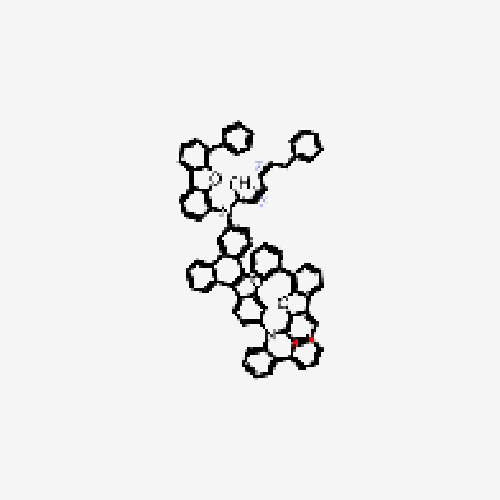 CC(/C=C\C=C/Cc1ccccc1)N(c1ccc2c(c1)c1ccccc1c1c3ccc(N(c4ccccc4-c4ccccc4)c4cccc5c4oc4c(-c6ccccc6)cccc45)cc3oc21)c1cccc2c1oc1c(-c3ccccc3)cccc12